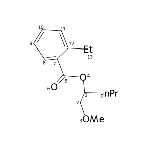 CCCC(COC)OC(=O)c1ccccc1CC